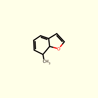 CC1C=CC=C2C=COC21